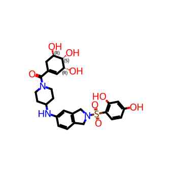 O=C(C1=C[C@@H](O)[C@@H](O)[C@H](O)C1)N1CCC(Nc2ccc3c(c2)CN(S(=O)(=O)c2ccc(O)cc2O)C3)CC1